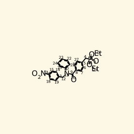 CCOP(=O)(Cc1ccc(C(=O)N(Cc2ccc([N+](=O)[O-])cc2)c2ccccc2)cc1)OCC